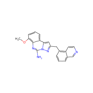 COc1cccc2c1nc(N)n1nc(Cc3cccc4cnccc34)cc21